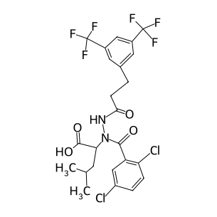 CC(C)CC(C(=O)O)N(NC(=O)CCc1cc(C(F)(F)F)cc(C(F)(F)F)c1)C(=O)c1cc(Cl)ccc1Cl